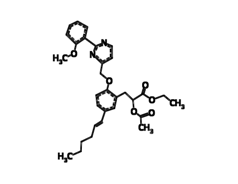 CCCCC=Cc1ccc(OCc2ccnc(-c3ccccc3OC)n2)c(CC(OC(C)=O)C(=O)OCC)c1